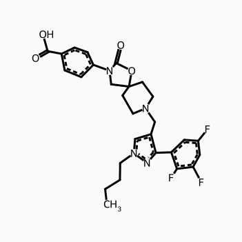 CCCCn1cc(CN2CCC3(CC2)CN(c2ccc(C(=O)O)cc2)C(=O)O3)c(-c2cc(F)cc(F)c2F)n1